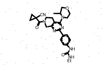 CCNC(=O)Nc1ccc(-c2nc3c(c(N4CCOCC4C)n2)CCN(C(=O)C2(C#N)CC2)C3)cc1